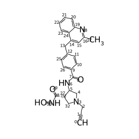 C#CCN1CC(NC(=O)c2ccc(Cc3cc(C)nc4ccccc34)cc2)[C@@H](C(=O)NO)C1